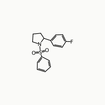 O=S(=O)(c1ccccc1)N1CCCC1c1ccc(F)cc1